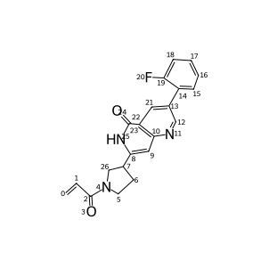 C=CC(=O)N1CCC(c2cc3ncc(-c4ccccc4F)cc3c(=O)[nH]2)C1